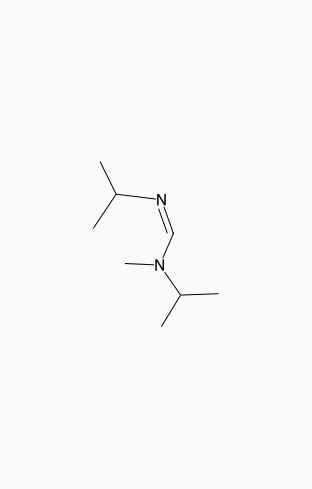 CC(C)/N=C\N(C)C(C)C